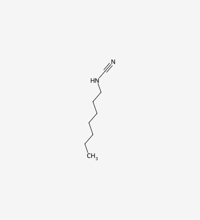 CCCCCCCNC#N